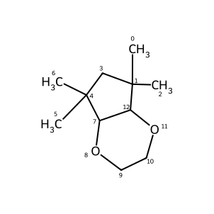 CC1(C)CC(C)(C)C2OCCOC21